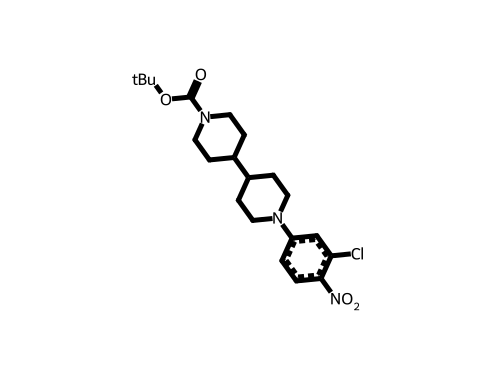 CC(C)(C)OC(=O)N1CCC(C2CCN(c3ccc([N+](=O)[O-])c(Cl)c3)CC2)CC1